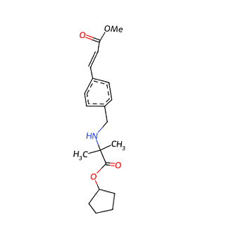 COC(=O)C=Cc1ccc(CNC(C)(C)C(=O)OC2CCCC2)cc1